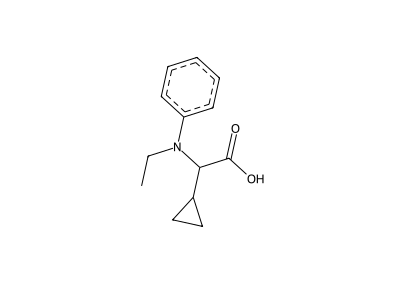 CCN(c1ccccc1)C(C(=O)O)C1CC1